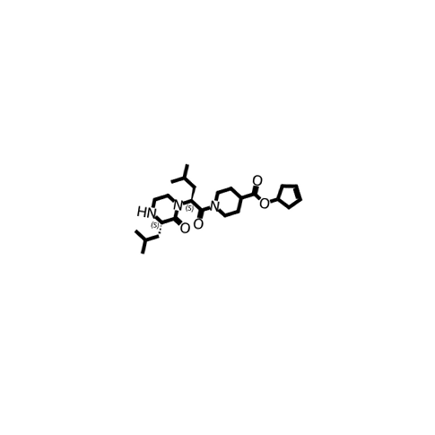 CC(C)C[C@@H]1NCCN([C@@H](CC(C)C)C(=O)N2CCC(C(=O)OC3CC=CC3)CC2)C1=O